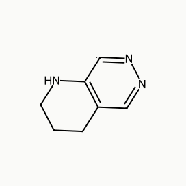 [c]1nncc2c1NCCC2